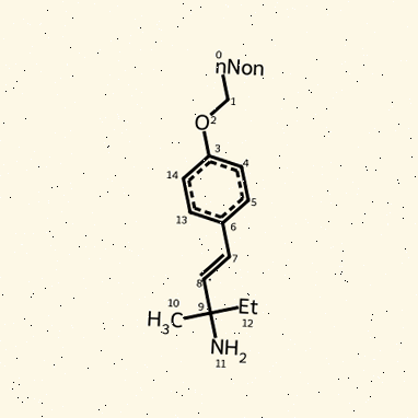 CCCCCCCCCCOc1ccc(C=[C]C(C)(N)CC)cc1